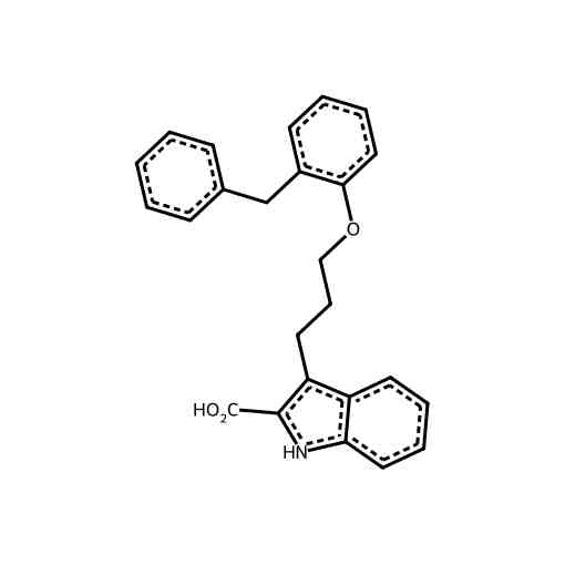 O=C(O)c1[nH]c2ccccc2c1CCCOc1ccccc1Cc1ccccc1